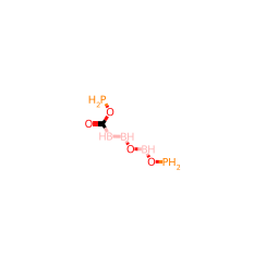 O=C(BBOBOP)OP